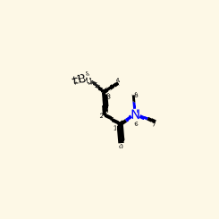 C=C(/C=C(\C)C(C)(C)C)N(C)C